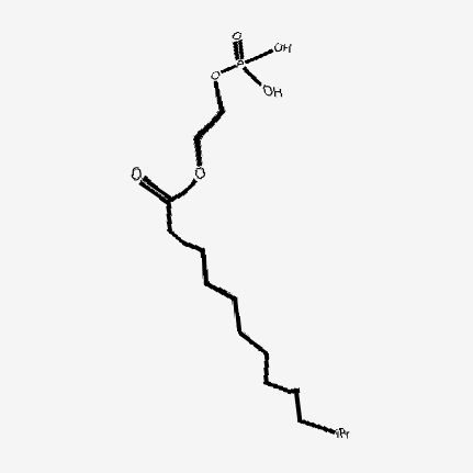 CC(C)CCCCCCCCCC(=O)OCCOP(=O)(O)O